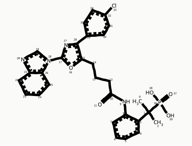 CC(C)(c1ccccc1NC(=O)CCCc1oc(-n2cnc3ccccc32)nc1-c1ccc(Cl)cc1)P(=O)(O)O